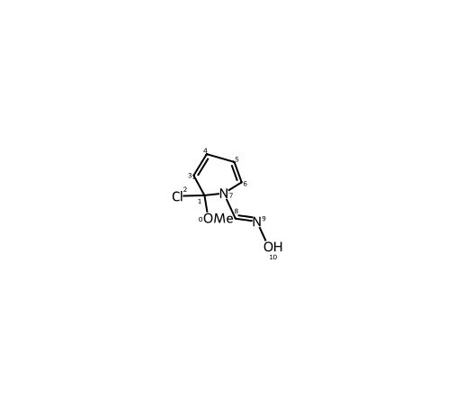 COC1(Cl)[C]=CC=CN1C=NO